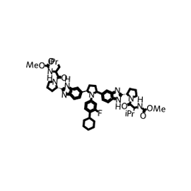 COC(=O)NC(CC(C)C)C(=O)N1CCC[C@H]1c1nc2ccc([C@H]3CCC(c4ccc5[nH]c([C@@H]6CCCN6C(=O)[C@@H](NC(=O)OC)C(C)C)nc5c4)N3c3ccc(C4CCCCC4)c(F)c3)cc2[nH]1